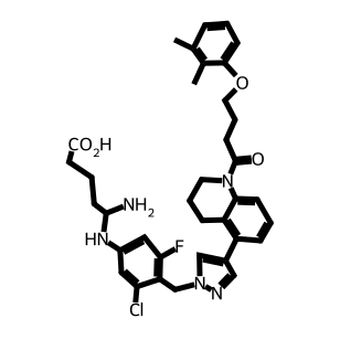 Cc1cccc(OCCCC(=O)N2CCCc3c(-c4cnn(Cc5c(F)cc(NC(N)CCCC(=O)O)cc5Cl)c4)cccc32)c1C